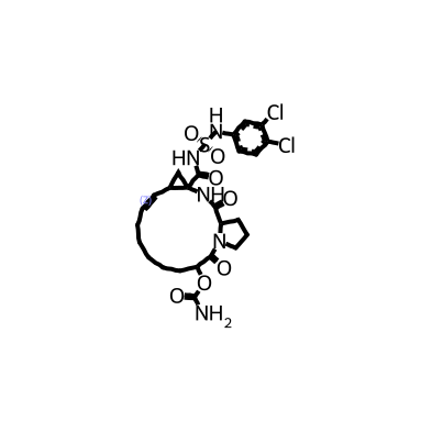 NC(=O)OC1CCCCC/C=C\C2CC2(C(=O)NS(=O)(=O)Nc2ccc(Cl)c(Cl)c2)NC(=O)C2CCCN2C1=O